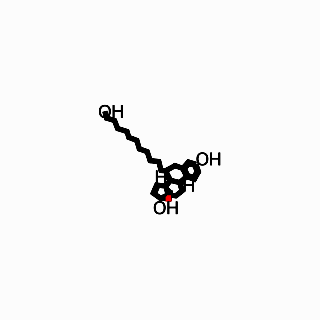 C[C@]12CC[C@@H]3c4ccc(O)cc4CC(CCCCCCCCCCCO)[C@H]3[C@@]13C=C[C@@]2(O)CC3